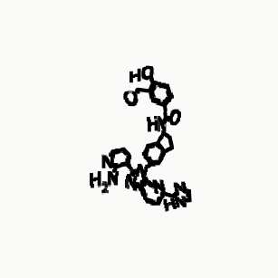 Nc1ncccc1-c1nc2ccc(-c3ncc[nH]3)nc2n1-c1ccc2c(c1)CC[C@@H]2NC(=O)c1ccc(O)c(C=O)c1